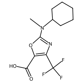 CN(c1nc(C(F)(F)F)c(C(=O)O)o1)C1CCCCC1